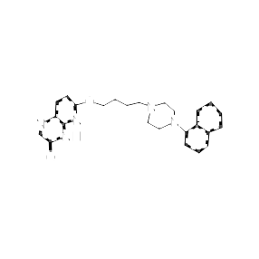 O=c1cnc2ccc(OCCCCN3CCN(c4cccc5ccccc45)CC3)nc2[nH]1